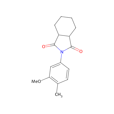 COc1cc(N2C(=O)C3CCCCC3C2=O)ccc1C